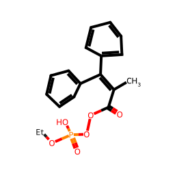 CCOP(=O)(O)OOC(=O)C(C)=C(c1ccccc1)c1ccccc1